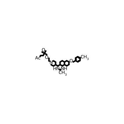 CC(=O)CCC1(COCCN2CCC(C3NC(C)NC4C5CCC(OCc6ccc(C)cc6)CC5CCC34)CC2)COC1